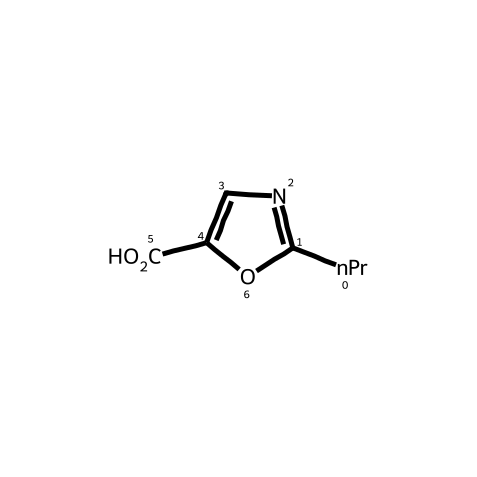 CCCc1ncc(C(=O)O)o1